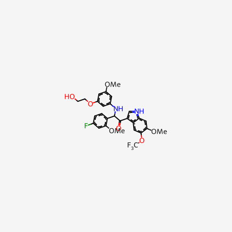 COc1cc(NC(C(=O)c2c[nH]c3cc(OC)c(OC(F)(F)F)cc23)c2ccc(F)cc2OC)cc(OCCO)c1